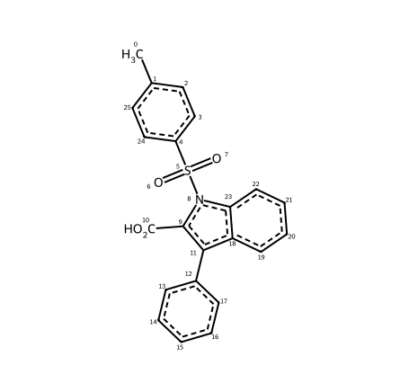 Cc1ccc(S(=O)(=O)n2c(C(=O)O)c(-c3ccccc3)c3ccccc32)cc1